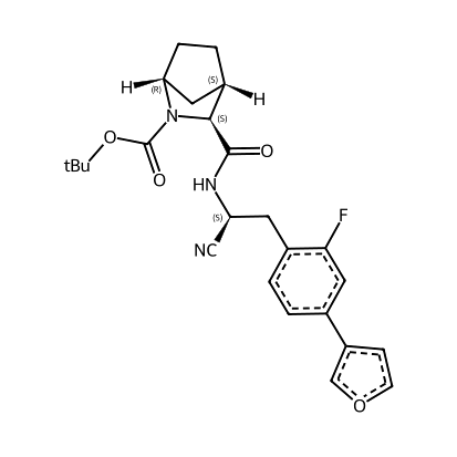 CC(C)(C)OC(=O)N1[C@@H]2CC[C@@H](C2)[C@H]1C(=O)N[C@H](C#N)Cc1ccc(-c2ccoc2)cc1F